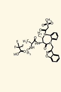 CN[C@@H](C)C(=O)N[C@@H]1C(=O)N(Cc2noc3ccccc23)c2ccccc2N(C(=O)CS(C)(=O)=O)[C@H]1C.O=C(O)C(F)(F)F